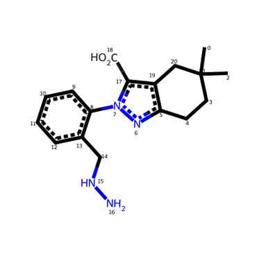 CC1(C)CCc2nn(-c3ccccc3CNN)c(C(=O)O)c2C1